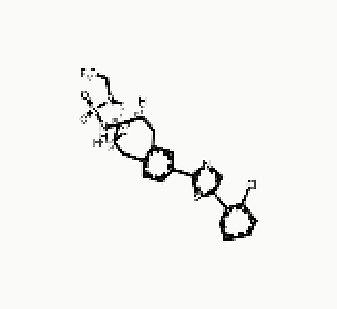 O=S1(=O)N[C@@]2(CN1CC(F)(F)F)[C@@H]1CC[C@H]2Cc2ccc(-c3ncc(-c4ccccc4Cl)s3)cc2C1